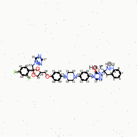 CCC(C)N[C@@](Cc1ccccc1)(C(=O)O)n1ncn(-c2ccc(N3CCN(c4ccc(OCC5COC(Cn6cncn6)(c6ccc(F)cc6F)O5)cc4)CC3)cc2)c1=O